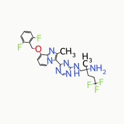 Cc1nc2c(OCc3c(F)cccc3F)cccn2c1-c1ncnc(NCC(C)(N)CCC(F)(F)F)n1